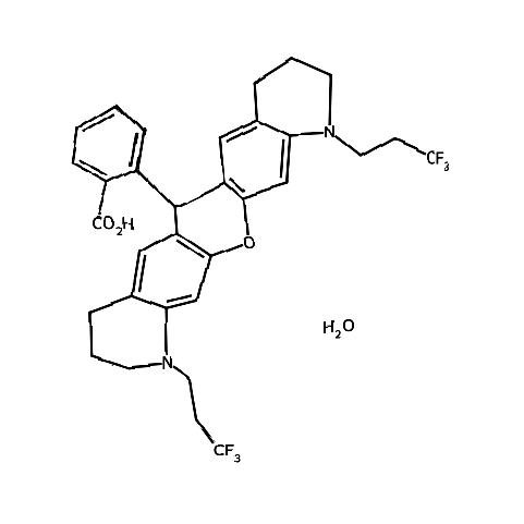 O.O=C(O)c1ccccc1C1c2cc3c(cc2Oc2cc4c(cc21)CCCN4CCC(F)(F)F)N(CCC(F)(F)F)CCC3